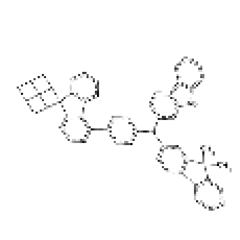 CC1(C)c2ccccc2-c2ccc(N(c3ccc(-c4cccc5c4-c4ccccc4C54C5CC6CC7CC4C675)cc3)c3ccc4c(c3)oc3ccccc34)cc21